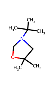 CC1(C)CN(C(C)(C)C)CO1